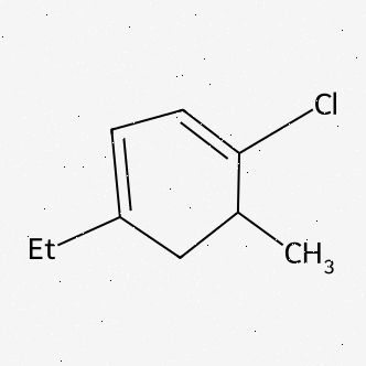 CCC1=CC=C(Cl)C(C)C1